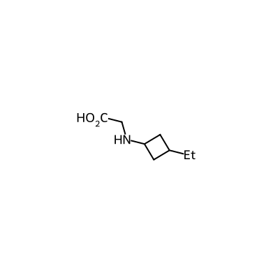 CCC1CC(NCC(=O)O)C1